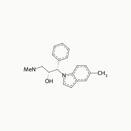 CNC[C@@H](O)[C@H](c1ccccc1)n1ccc2cc(C)ccc21